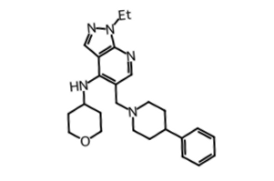 CCn1ncc2c(NC3CCOCC3)c(CN3CCC(c4ccccc4)CC3)cnc21